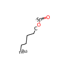 CCCCCCCCC[O][Sn]=[O]